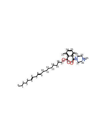 CCCCC/C=C/C/C=C/CCCCCCCCOC(=O)c1c(C)ccc(C)c1C(=O)N1CCN(C)CC1